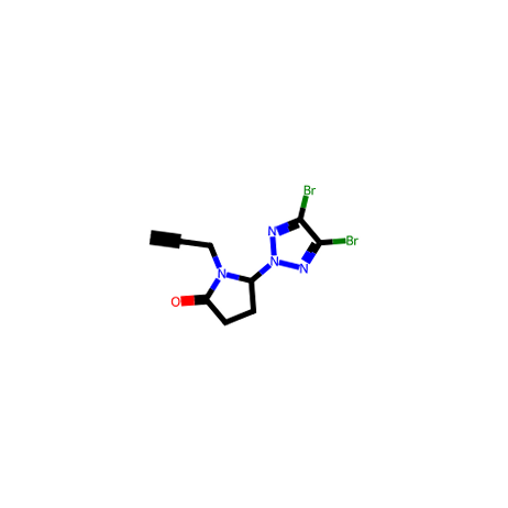 C#CCN1C(=O)CCC1n1nc(Br)c(Br)n1